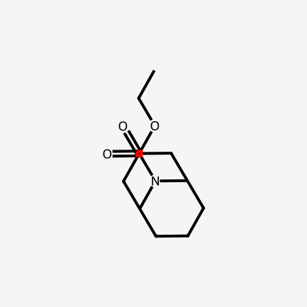 CCOC(=O)N1C2CCCC1CC(=O)C2